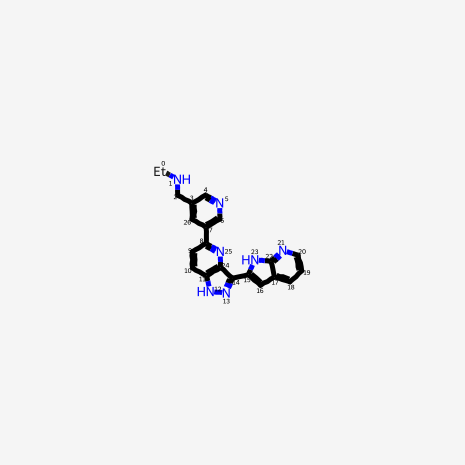 CCNCc1cncc(-c2ccc3[nH]nc(-c4cc5cccnc5[nH]4)c3n2)c1